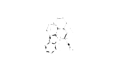 CC[C@@]12C=C(C#N)n3c4c(c5ccccc53)CCN(CCC1)[C@H]42